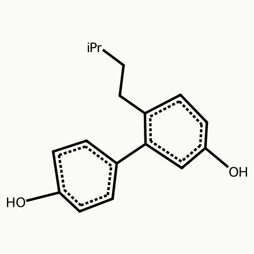 CC(C)CCc1ccc(O)cc1-c1ccc(O)cc1